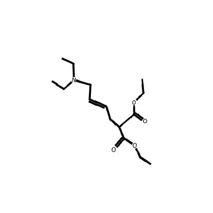 CCOC(=O)C(CC=CCN(CC)CC)C(=O)OCC